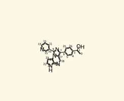 C=C(O)c1ccc(-c2nc(-c3cccnc3)n3c2cnc2[nH]ccc23)cc1